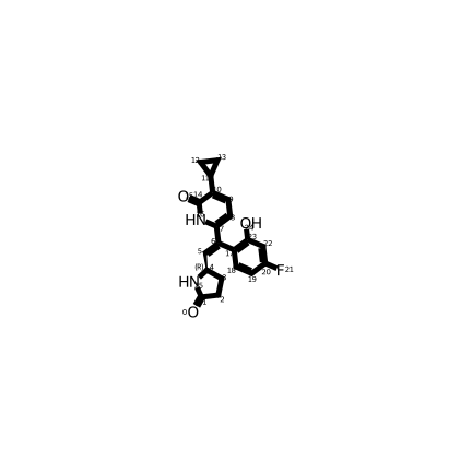 O=C1CC[C@H](C=C(c2ccc(C3CC3)c(=O)[nH]2)c2ccc(F)cc2O)N1